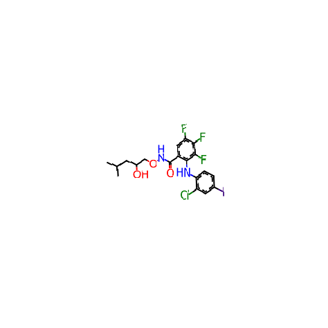 CC(C)CC(O)CONC(=O)c1cc(F)c(F)c(F)c1Nc1ccc(I)cc1Cl